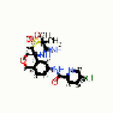 CC1(C)C(=N)N[C@@]2(COCc3ccc(NC(=O)c4ccc(Cl)cn4)cc32)CS1(=O)=O